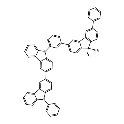 CC1(C)c2ccc(-c3ccccc3)cc2-c2cc(-c3ccnc(-n4c5ccccc5c5cc(-c6ccc7c(c6)c6ccccc6n7-c6ccccc6)ccc54)n3)ccc21